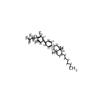 CCCCCCC1CC[C@@H]2C[C@H](c3ccc(-c4cc(F)c(OC(F)(F)C(F)F)c(F)c4)cc3)CC[C@@H]2C1